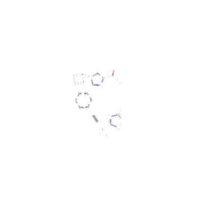 Cc1nc([C@](C)(O)C#Cc2cc3c(cc2F)C2CC(C2)n2cc(C(N)=O)nc2-3)no1